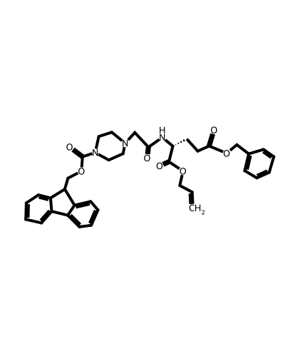 C=CCOC(=O)[C@@H](CCC(=O)OCc1ccccc1)NC(=O)CN1CCN(C(=O)OCC2c3ccccc3-c3ccccc32)CC1